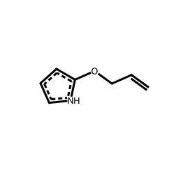 C=CCOc1ccc[nH]1